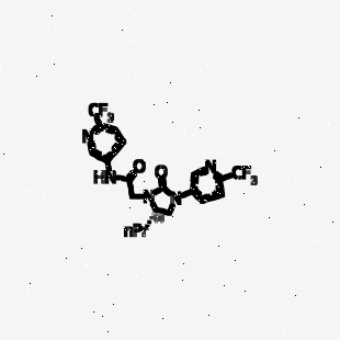 CCC[C@H]1CN(c2ccc(C(F)(F)F)nc2)C(=O)N1CC(=O)Nc1ccc(C(F)(F)F)nc1